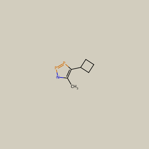 CC1=C(C2CCC2)P=P[N]1